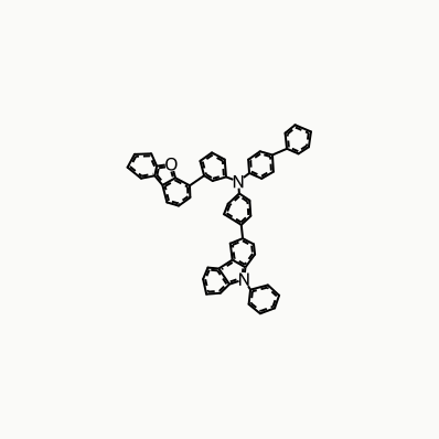 c1ccc(-c2ccc(N(c3ccc(-c4ccc5c(c4)c4ccccc4n5-c4ccccc4)cc3)c3cccc(-c4cccc5c4oc4ccccc45)c3)cc2)cc1